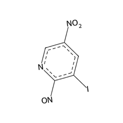 O=Nc1ncc([N+](=O)[O-])cc1I